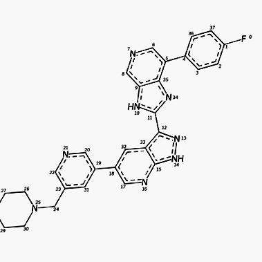 Fc1ccc(-c2cncc3[nH]c(-c4n[nH]c5ncc(-c6cncc(CN7CCCCC7)c6)cc45)nc23)cc1